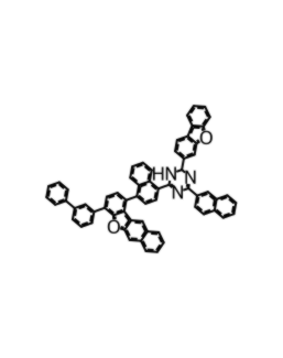 c1ccc(-c2cccc(-c3ccc(-c4ccc(C5=NC(c6ccc7ccccc7c6)=NC(c6ccc7c(c6)oc6ccccc67)N5)c5ccccc45)c4c3oc3cc5ccccc5cc34)c2)cc1